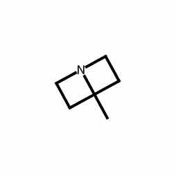 CC12CCN1CC2